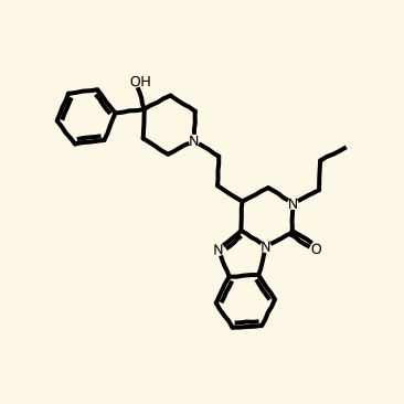 CCCN1CC(CCN2CCC(O)(c3ccccc3)CC2)c2nc3ccccc3n2C1=O